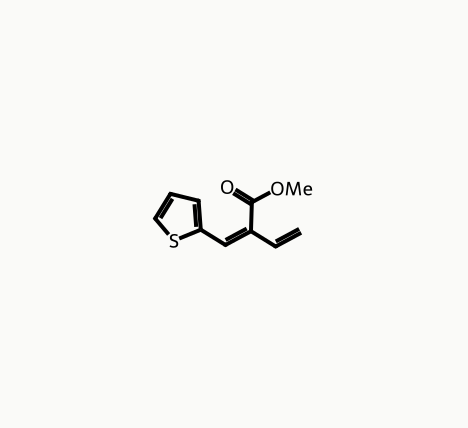 C=C/C(=C/c1cccs1)C(=O)OC